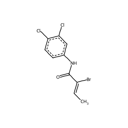 CC=C(Br)C(=O)Nc1ccc(Cl)c(Cl)c1